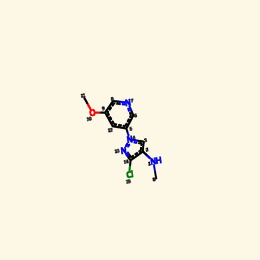 CNc1cn(-c2cncc(OC)c2)nc1Cl